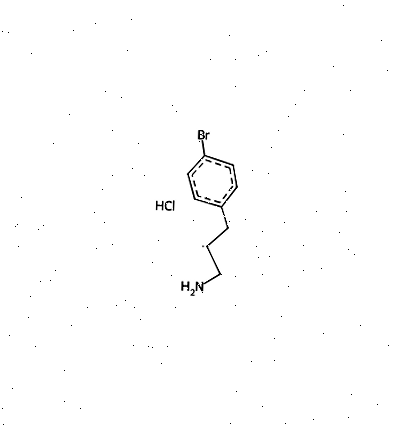 Cl.NC[CH]Cc1ccc(Br)cc1